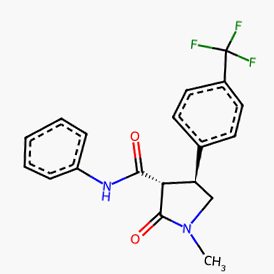 CN1C[C@H](c2ccc(C(F)(F)F)cc2)[C@@H](C(=O)Nc2ccccc2)C1=O